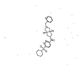 O=S(=O)(c1ccc(N[C@H]2C[C@@H]3CN(Cc4ccccn4)C[C@@H]3C2)nn1)C1CCCCC1